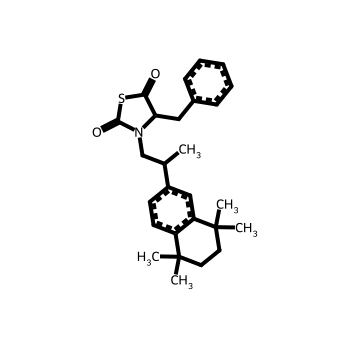 CC(CN1C(=O)SC(=O)C1Cc1ccccc1)c1ccc2c(c1)C(C)(C)CCC2(C)C